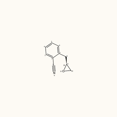 N#Cc1ccccc1C[C@H]1CO1